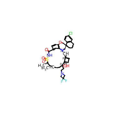 C[C@@H]1[C@@H](C)CCC[C@](O)(CCN2CC(F)(F)C2)[C@@H]2CC[C@H]2CN2C[C@@]3(CCCc4cc(Cl)ccc43)COc3ccc(cc32)C(=O)NS1(=O)=O